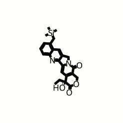 CC[C@@]1(O)C(=O)OCc2c1cc1n(c2=O)Cc2cc3c(C[Si](C)(C)C)cccc3nc2-1